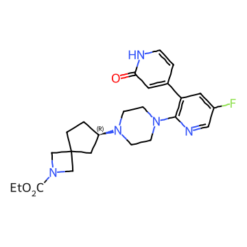 CCOC(=O)N1CC2(CC[C@@H](N3CCN(c4ncc(F)cc4-c4cc[nH]c(=O)c4)CC3)C2)C1